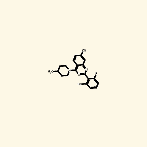 CC1CCN(c2nc(-c3c(O)cccc3F)nc3cc(C#N)ccc23)CC1